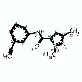 C#Cc1cccc(NC(=O)c2cc(C)nn2C)c1